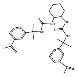 C=C(C)c1cccc(C(C)(C)NC(=O)NC2CCCCC2NC(=O)NC(C)(C)c2cccc(C(=C)C)c2)c1